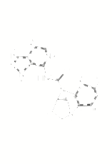 O=C(Nc1ncnc2[nH]nnc12)N1c2nc(Cl)ccc2N2CCC1C2